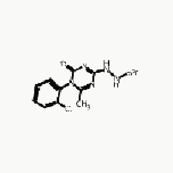 CCCNNc1nc(C)n(-c2ccccc2Cl)c(=O)n1